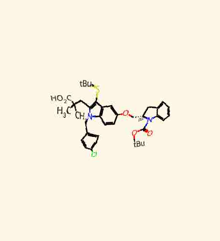 CC(C)(C)OC(=O)N1c2ccccc2C[C@H]1COc1ccc2c(c1)c(SC(C)(C)C)c(CC(C)(C)C(=O)O)n2Cc1ccc(Cl)cc1